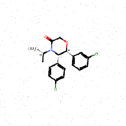 CCOC(=O)[C@@H](C)N1C(=O)CO[C@H](c2cccc(Cl)c2)[C@@H]1c1ccc(Cl)cc1